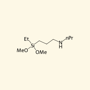 CCCNCCC[Si](CC)(OC)OC